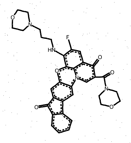 O=C(c1cn2c3cc4c(cc3oc3c(NCCCN5CCOCC5)c(F)cc(c1=O)c32)c(=O)c1ccccc14)N1CCOCC1